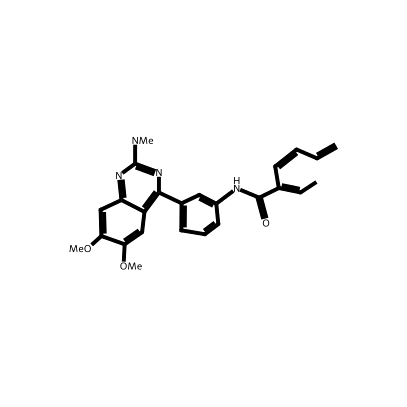 C=C/C=C\C(=C/C)C(=O)Nc1cccc(-c2nc(NC)nc3cc(OC)c(OC)cc23)c1